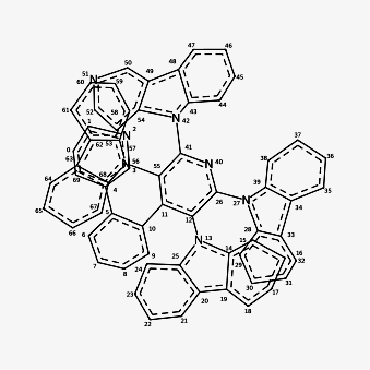 c1cncc(-c2ccccc2-c2c(-n3c4ccccc4c4ccccc43)c(-n3c4ccccc4c4ccccc43)nc(-n3c4ccccc4c4cnccc43)c2-n2c3ccccc3c3ccccc32)c1